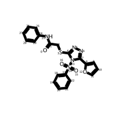 O=C(CSc1nnc(-c2ccco2)n1S(=O)(=O)c1ccccc1)Nc1ccccc1